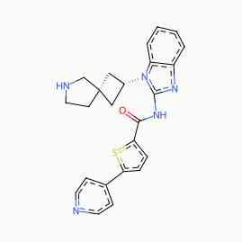 O=C(Nc1nc2ccccc2n1[C@H]1C[C@@]2(CCNC2)C1)c1ccc(-c2ccncc2)s1